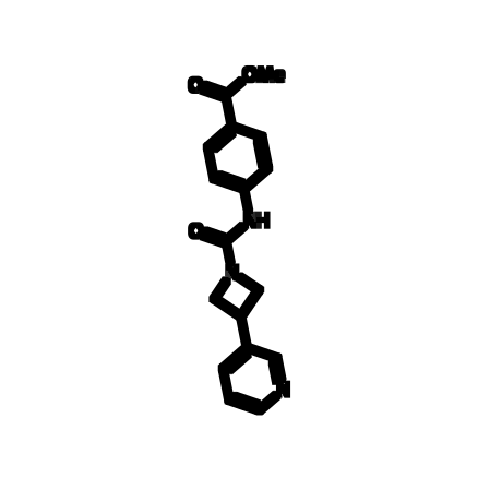 COC(=O)c1ccc(NC(=O)N2CC(c3cccnc3)C2)cc1